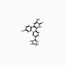 O=c1[nH]c(-c2ccc(C3=NNNN3)cc2)c(-c2ccc(F)cc2)cc1O